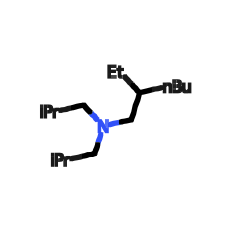 CCCCC(CC)CN(CC(C)C)CC(C)C